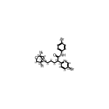 O=C(Nc1ccc(Br)cc1)C(CCCN1C[C@@H]2C[C@H]1CO2)c1ccc(Br)cn1